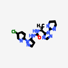 C[C@H](NC(=O)Nc1ccnn1-c1ccc(Cl)cn1)c1ncnn1-c1ncccn1